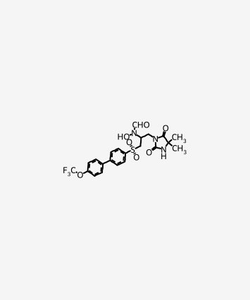 CC1(C)NC(=O)N(CC(CS(=O)(=O)c2ccc(-c3ccc(OC(F)(F)F)cc3)cc2)N(O)C=O)C1=O